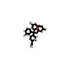 N#Cc1ccc(C(Cc2cccc(F)c2)(c2cccc(F)c2)c2cccc(F)c2)cn1